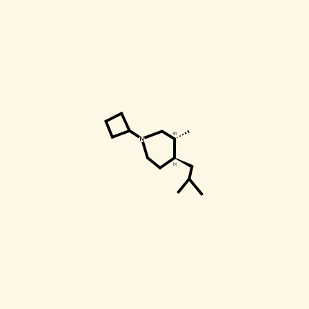 CC(C)C[C@H]1CCN(C2CCC2)C[C@@H]1C